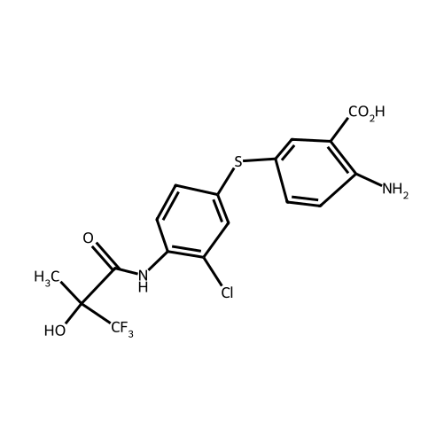 CC(O)(C(=O)Nc1ccc(Sc2ccc(N)c(C(=O)O)c2)cc1Cl)C(F)(F)F